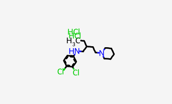 CCC(CCN1CCCCC1)CNc1ccc(Cl)c(Cl)c1.Cl.Cl